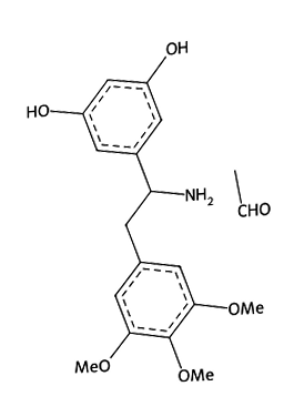 CC=O.COc1cc(CC(N)c2cc(O)cc(O)c2)cc(OC)c1OC